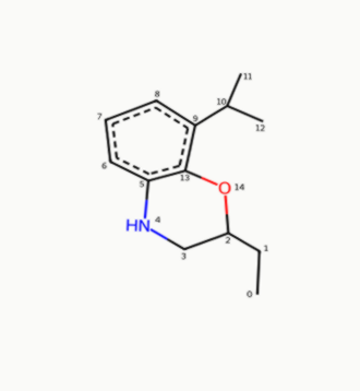 CCC1CNc2cccc(C(C)C)c2O1